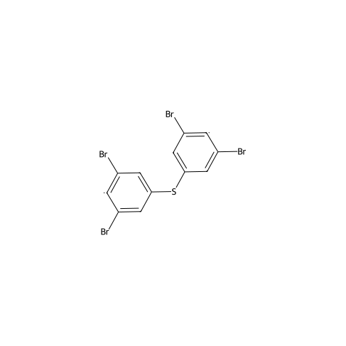 Brc1[c]c(Br)cc(Sc2cc(Br)[c]c(Br)c2)c1